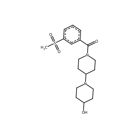 CS(=O)(=O)c1cccc(C(=O)N2CCC(N3CCC(O)CC3)CC2)c1